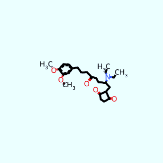 CCN(CC)C(CCC(=O)CCCc1ccc(OC)c(OC)c1)CC1C(=O)CCC1=O